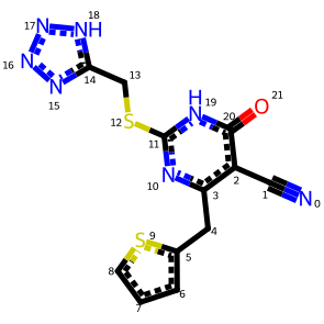 N#Cc1c(Cc2cccs2)nc(SCc2nnn[nH]2)[nH]c1=O